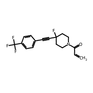 C=CC(=O)N1CCC(F)(C#Cc2ccc(C(F)(F)F)cc2)CC1